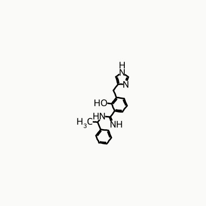 CC(NC(=N)c1cccc(Cc2c[nH]cn2)c1O)c1ccccc1